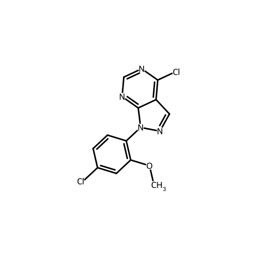 COc1cc(Cl)ccc1-n1ncc2c(Cl)ncnc21